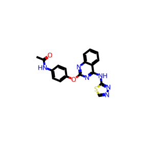 CC(=O)Nc1ccc(Oc2nc(Nc3nncs3)c3ccccc3n2)cc1